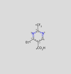 CCc1nc(C(F)(F)F)ncc1C(=O)O